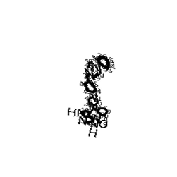 C[C@@H]1CCCC[C@@H]1n1c(=O)[nH]c2cnc3[nH]cc(CN4CCN(c5ccc(CN6CCN(c7ccccc7)CC6)cc5)CC4)c3c21